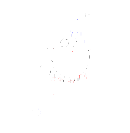 CO[C@H]1/C=C/OC(C)(C)Oc2c(C)c(O)c3c(c2C=O)C2=NC4(CCN(CC(C)C)CC4)NC2=C(NC(=O)/C(C)=C\C=C\[C@H](C)[C@H](O)[C@@H](C)[C@@H](O)[C@@H](C)[C@H](OC(=O)CCC(=O)OCCCN(C)C)[C@@H]1C)C3=O